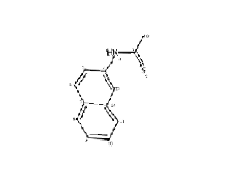 CC(=S)Nc1ccc2ccccc2c1